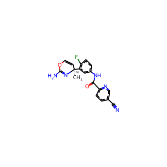 C[C@@]1(c2cc(NC(=O)c3ccc(C#N)cn3)ccc2F)C=COC(N)=N1